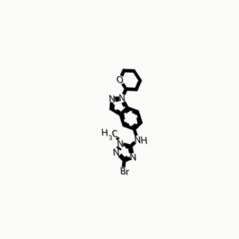 Cn1nc(Br)nc1Nc1ccc2c(cnn2C2CCCCO2)c1